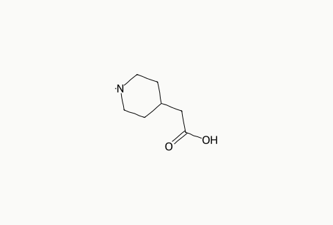 O=C(O)CC1CC[N]CC1